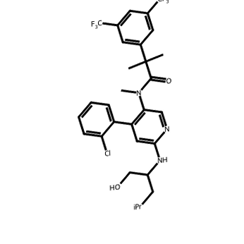 CC(C)CC(CO)Nc1cc(-c2ccccc2Cl)c(N(C)C(=O)C(C)(C)c2cc(C(F)(F)F)cc(C(F)(F)F)c2)cn1